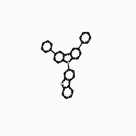 c1ccc(-c2ccc3c(c2)c2cc(-c4ccccc4)ccc2n3-c2ccc3c(c2)sc2ccccc23)cc1